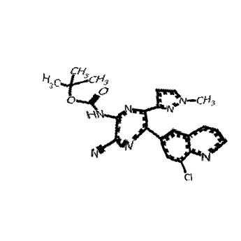 Cn1ccc(-c2nc(NC(=O)OC(C)(C)C)c(C#N)nc2-c2cc(Cl)c3ncccc3c2)n1